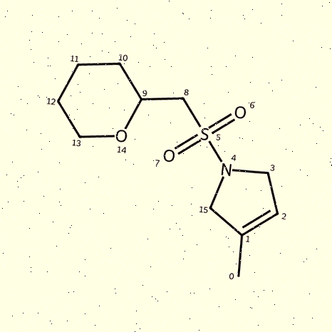 CC1=CCN(S(=O)(=O)CC2CCCCO2)C1